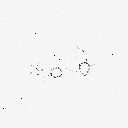 CC(C)(C)S(=O)(=O)Nc1ccc(CNc2ccc(F)c(OC(F)(F)F)c2)cc1